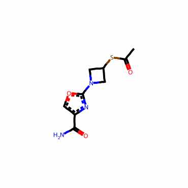 CC(=O)SC1CN(c2nc(C(N)=O)co2)C1